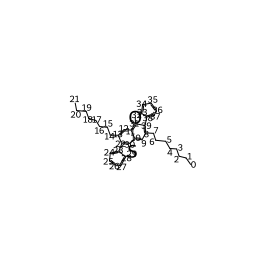 CCCCCCCCc1cc2c(cc(CCCCCCCC)c3c4ccccc4sc23)c2oc3ccccc3c12